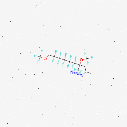 CC(CC(OC(F)(F)F)(C(F)(F)F)C(F)(F)C(F)(F)C(F)(F)C(F)(F)C(F)(F)COC(F)(F)F)N=[N+]=[N-]